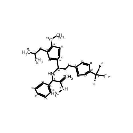 C=C(NC)[C@H](N[C@H](CCc1ccc(C(F)(F)F)cc1)c1ccc(OC)c(CC(C)C)c1)c1ccccc1